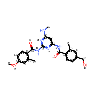 CNc1cc(NC(=O)c2ccc(CO)cc2C)nc(NC(=O)c2ccc(OC)cc2C)n1